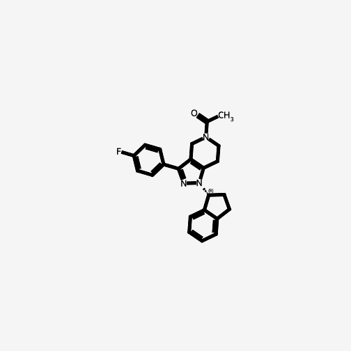 CC(=O)N1CCc2c(c(-c3ccc(F)cc3)nn2[C@@H]2CCc3ccccc32)C1